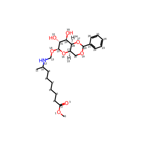 COC(=O)CCCCCCC(C)NCO[C@@H]1O[C@@H]2COC(c3ccccc3)O[C@@H]2[C@H](O)[C@H]1O